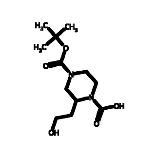 CC(C)(C)OC(=O)N1CCN(C(=O)O)C(CCO)C1